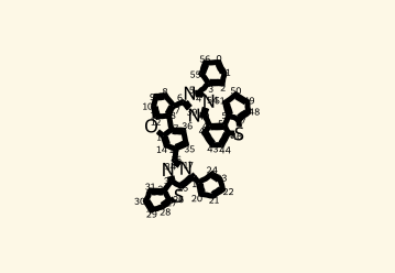 c1ccc(-c2nc(-c3cccc4oc5cc(-c6nc(-c7ccccc7)c7sc8ccccc8c7n6)ccc5c34)nc(-c3cccc4sc5ccccc5c34)n2)cc1